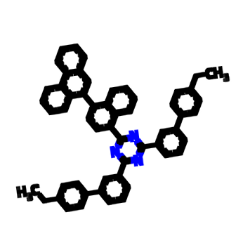 CCc1ccc(-c2cccc(-c3nc(-c4cccc(-c5ccc(CC)cc5)c4)nc(-c4ccc(-c5cc6ccccc6c6ccccc56)c5ccccc45)n3)c2)cc1